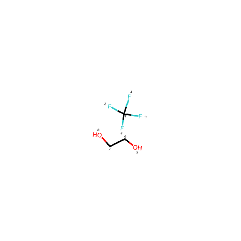 FC(F)(F)F.OCCO